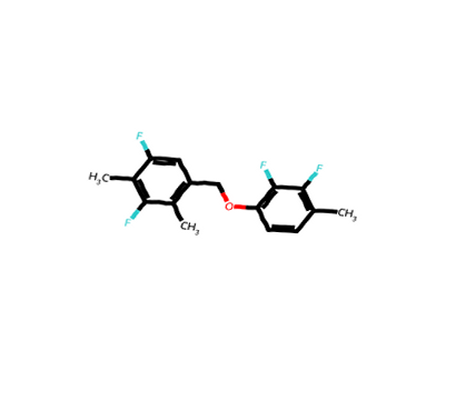 Cc1ccc(OCc2cc(F)c(C)c(F)c2C)c(F)c1F